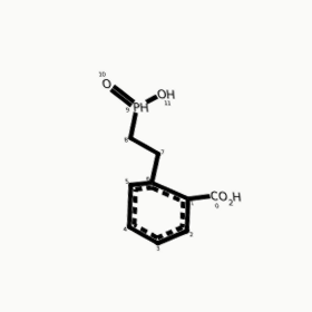 O=C(O)c1ccccc1CC[PH](=O)O